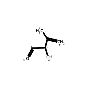 C=C(C)C(O)C=O